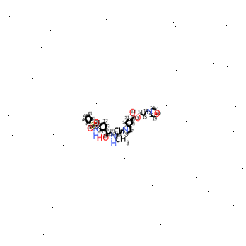 CC(C)(CCn1ccc2cc(C(=O)OCCCN3CCOCC3)ccc21)NC[C@H](O)c1cccc(NS(=O)(=O)c2ccccc2)c1